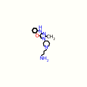 C=C1N=C2Nc3ccccc3OC2=CN1C1CCCN(CCCCN)CC1